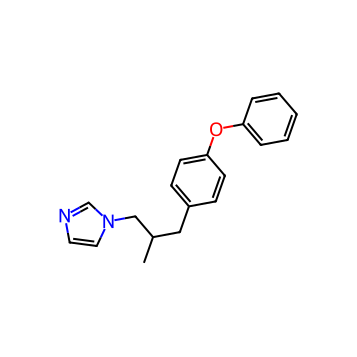 CC(Cc1ccc(Oc2ccccc2)cc1)Cn1ccnc1